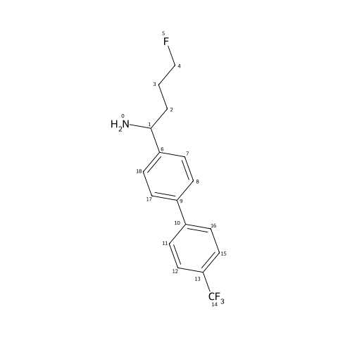 NC(CCCF)c1ccc(-c2ccc(C(F)(F)F)cc2)cc1